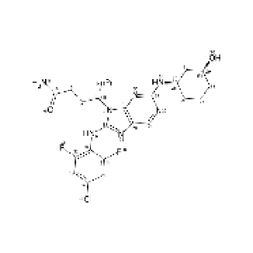 CCC[C@@H](CCC(N)=O)n1c(Nc2c(F)cc(Cl)cc2F)nc2cnc(N[C@@H]3CCC[C@H](O)C3)nc21